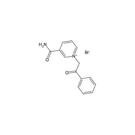 NC(=O)c1ccc[n+](CC(=O)c2ccccc2)c1.[Br-]